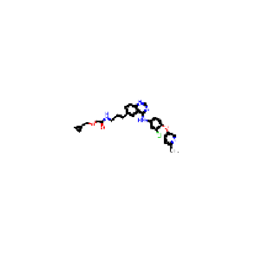 Cc1ccc(Oc2ccc(Nc3ncnc4ccc(/C=C/CNC(=O)COCC5CC5)cc34)cc2Cl)cn1